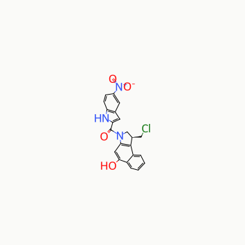 O=C(c1cc2cc([N+](=O)[O-])ccc2[nH]1)N1C[C@@H](CCl)c2c1cc(O)c1ccccc21